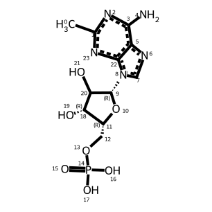 Cc1nc(N)c2ncn([C@@H]3O[C@H](COP(=O)(O)O)[C@H](O)C3O)c2n1